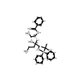 CC(C)(C)[Si](OC[C@](O)(CCO)C[C@H](CO)OC(=O)c1ccccc1)(c1ccccc1)c1ccccc1